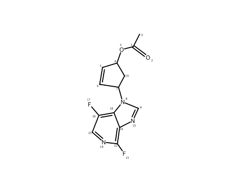 CC(=O)OC1C=CC(n2cnc3c(F)ncc(F)c32)C1